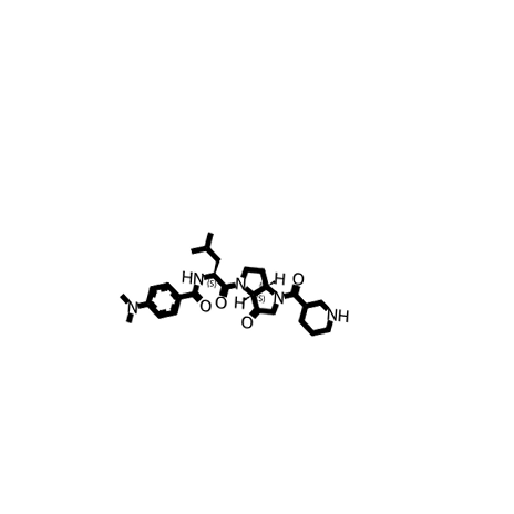 CC(C)C[C@H](NC(=O)c1ccc(N(C)C)cc1)C(=O)N1CC[C@@H]2[C@H]1C(=O)CN2C(=O)C1CCCNC1